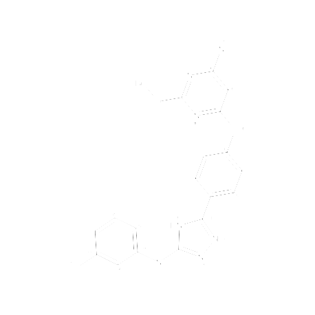 CC(C)(C)Oc1nc(N)cc(Oc2ccc(-c3nnc(Nc4cccc(C(F)(F)F)c4)[nH]3)cc2)n1